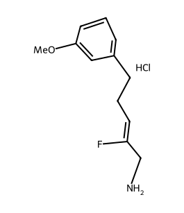 COc1cccc(CC/C=C(\F)CN)c1.Cl